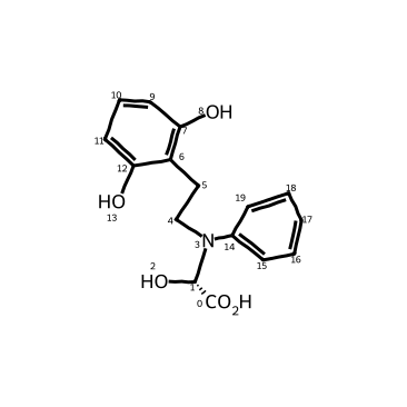 O=C(O)[C@H](O)N(CCc1c(O)cccc1O)c1ccccc1